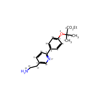 CCOC(=O)C(C)(C)Oc1ccc(-c2ccc(CCN)cn2)cc1